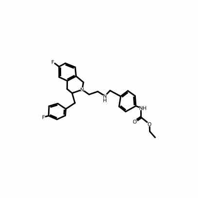 CCOC(=O)Nc1ccc(CNCCN2Cc3ccc(F)cc3CC2Cc2ccc(F)cc2)cc1